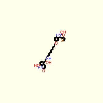 O=C(O)NC(c1cccc(OCCCCCCCCCNCC(O)c2ccc(O)c3[nH]c(=O)ccc23)c1)c1cccs1